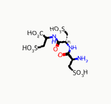 NC(CS(=O)(=O)O)C(=O)N[C@@H](CS(=O)(=O)O)C(=O)NC(CS(=O)(=O)O)C(=O)O